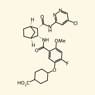 COc1cc(F)c(OC2CCC(C(=O)O)CC2)cc1C(=O)N[C@@H]1[C@H]2CC[C@H](C2)[C@@H]1C(=O)Nc1cc(Cl)cnn1